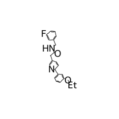 CCOc1cccc(-c2ccc(CC(=O)NCc3cccc(F)c3)cn2)c1